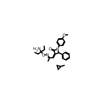 CC1CC1.CCC(N)(CC)ON=C(C)C=C1C(=O)N(c2ccc(OC)cc2)C1c1ccccc1